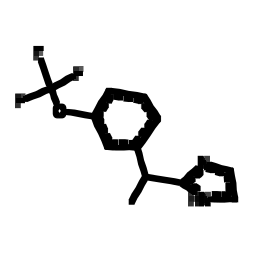 CC(c1cccc(OC(F)(F)F)c1)c1ncc[nH]1